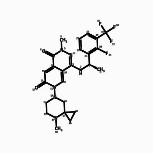 C[C@@H](Nc1nn(C)c(=O)c2cc(=O)n(N3CCN(C)C4(CC4)C3)cc12)c1cccc(C(F)(F)F)c1F